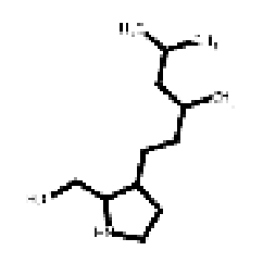 CCC1NCCC1CCC(C)CC(C)C